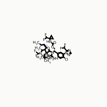 C=NN(C(F)F)C(C)C(/C=C\CC)[C@@]1(CC(C)(C)C)NC(=N)N([C@H](COC(=O)NC2(C(F)F)CC2)c2ccc(Cl)c(-n3ncnc3C(F)F)c2)C1=O